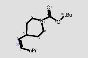 CCC/C=C\C1CCN(C(=O)OC(C)(C)C)CC1